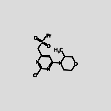 CC1COCCN1c1cc(CS(=O)(=O)C(C)C)nc(Cl)n1